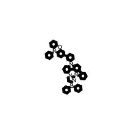 c1ccc(B(c2ccccc2)c2ccnc(-n3c4ccccc4c4ccc5c(c6ccccc6n5-c5cccc(-c6ccc7c(c6)Oc6ccccc6N7c6ccccc6)c5)c43)n2)cc1